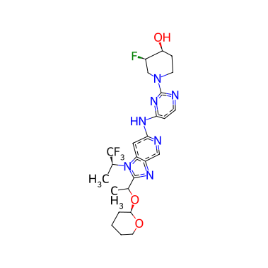 CC(O[C@@H]1CCCCO1)c1nc2cnc(Nc3ccnc(N4CC[C@H](O)[C@H](F)C4)n3)cc2n1[C@@H](C)C(F)(F)F